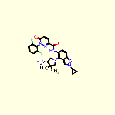 CC1(C)CN(c2c(NC(=O)c3ccc(=O)n(-c4c(F)cccc4F)n3)ccc3nn(C4CC4)cc23)C[C@H]1N